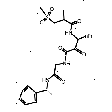 CCCC(NC(=O)C(C)CS(C)(=O)=O)C(=O)C(=O)NCC(=O)N[C@H](C)c1ccccc1